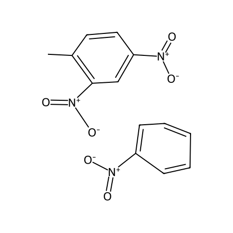 Cc1ccc([N+](=O)[O-])cc1[N+](=O)[O-].O=[N+]([O-])c1ccccc1